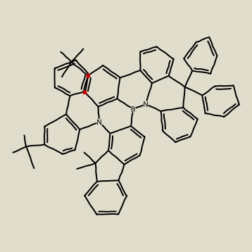 CC(C)(C)c1ccc(N2c3cc(C(C)(C)C)cc4c3B(c3ccc5c(c32)C(C)(C)c2ccccc2-5)N2c3ccccc3C(c3ccccc3)(c3ccccc3)c3cccc-4c32)c(-c2ccccc2)c1